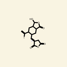 C=C(I)C1CC2C(O)OC(=O)C2CC1/C=C1\CC(=O)OC1=O